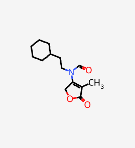 CC1=C(N(C=O)CCC2CCCCC2)COC1=O